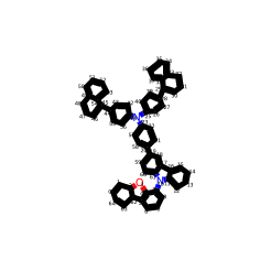 C1=CC2Oc3c(cccc3-n3c4ccccc4c4cc(-c5ccc(N(c6ccc(-c7cccc8ccccc78)cc6)c6ccc(-c7cccc8ccccc78)cc6)cc5)ccc43)C2C=C1